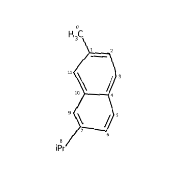 Cc1ccc2ccc(C(C)C)cc2c1